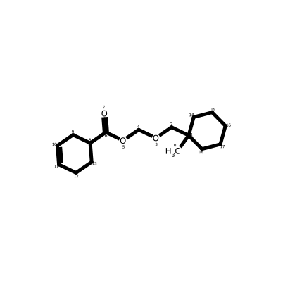 CC1(COCOC(=O)C2CC=CCC2)CCCCC1